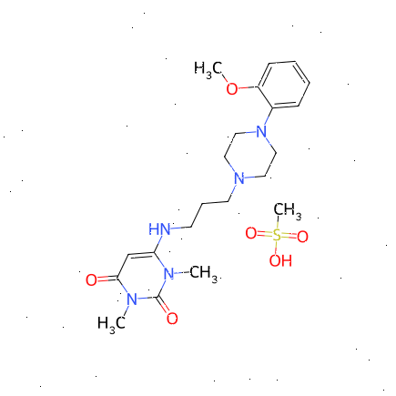 COc1ccccc1N1CCN(CCCNc2cc(=O)n(C)c(=O)n2C)CC1.CS(=O)(=O)O